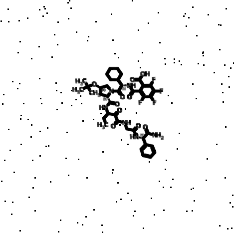 CCC(NC(=O)[C@@H]1C[C@@H](OC(C)(C)C)CN1C(=O)[C@@H](NC(=O)c1c(F)c(F)c(F)c(F)c1C(=O)O)C1CCCCC1)C(=O)C(=O)NCC(=O)N[C@H](C(N)=O)c1ccccc1